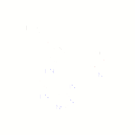 CCOC(=O)COc1cccc(N/C=C2\C(=O)Nc3ncnc(NCCCN(C)C(=O)OC(C)(C)C)c32)c1